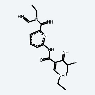 CCN/C=C(\C(=N)C(F)F)C(=O)Nc1cccc(C(=N)N(C=N)CC)n1